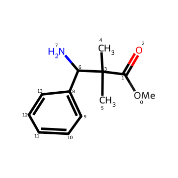 COC(=O)C(C)(C)C(N)c1ccccc1